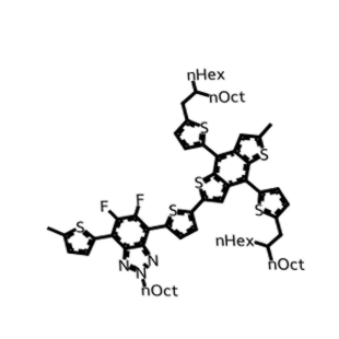 CCCCCCCCC(CCCCCC)Cc1ccc(-c2c3cc(-c4ccc(-c5c(F)c(F)c(-c6ccc(C)s6)c6nn(CCCCCCCC)nc56)s4)sc3c(-c3ccc(CC(CCCCCC)CCCCCCCC)s3)c3cc(C)sc23)s1